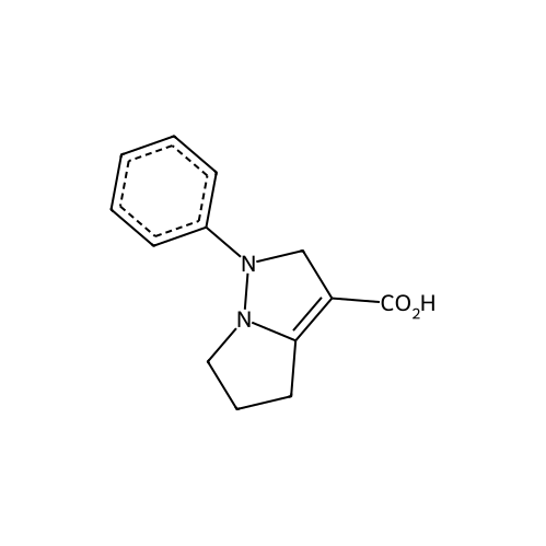 O=C(O)C1=C2CCCN2N(c2ccccc2)C1